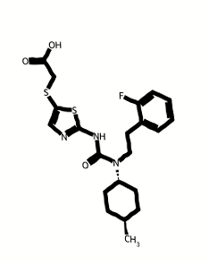 C[C@H]1CC[C@H](N(CCc2ccccc2F)C(=O)Nc2ncc(SCC(=O)O)s2)CC1